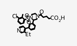 CCc1cnccc1-c1cccc(C2CN(C(=O)CCCC(=O)O)CCN2S(=O)(=O)c2cccc(Cl)c2C)c1